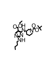 CCCCNc1ncc(C(=O)OCC)c(NC2CCCN(C(=O)OC(C)(C)C)C2)n1